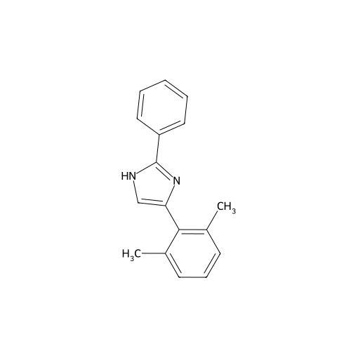 Cc1cccc(C)c1-c1c[nH]c(-c2ccccc2)n1